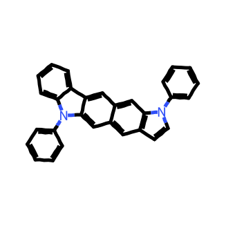 c1ccc(-n2ccc3cc4cc5c(cc4cc32)c2ccccc2n5-c2ccccc2)cc1